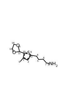 Cc1cc(CCCCN)sc1C1OCCO1